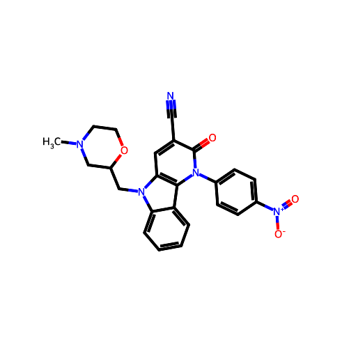 CN1CCOC(Cn2c3ccccc3c3c2cc(C#N)c(=O)n3-c2ccc([N+](=O)[O-])cc2)C1